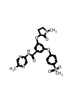 Cc1cnc(NC(=O)c2cc(Oc3ccc(S(C)(=O)=O)cc3)cc(OC3CCN(C)C3=O)c2)cn1